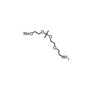 COCCOC(C)(C)OCCOCCN